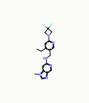 CCc1cc(N2CC(F)(F)C2)ncc1CNc1cc2c(cn1)ncn2C